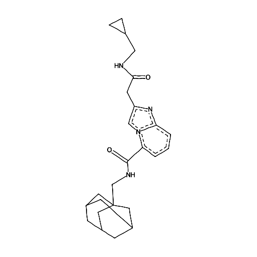 O=C(Cc1cn2c(C(=O)NCC34CC5CC(CC(C5)C3)C4)cccc2n1)NCC1CC1